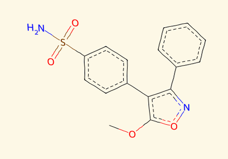 COc1onc(-c2ccccc2)c1-c1ccc(S(N)(=O)=O)cc1